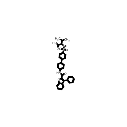 CC(C)C(NS(=O)(=O)c1ccc(-c2ccc(NC(=O)c3oc4ccccc4c3-c3ccccc3)cc2)cc1)C(=O)O